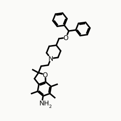 Cc1c(C)c2c(c(C)c1N)CC(C)(CCN1CCC(COC(c3ccccc3)c3ccccc3)CC1)O2